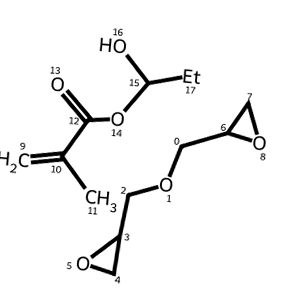 C(OCC1CO1)C1CO1.C=C(C)C(=O)OC(O)CC